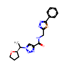 CC([C@H]1CCCO1)n1cc(C(=O)NCc2nnc(-c3ccccc3)s2)nn1